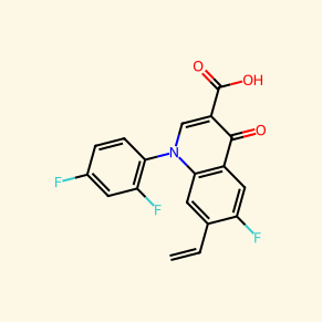 C=Cc1cc2c(cc1F)c(=O)c(C(=O)O)cn2-c1ccc(F)cc1F